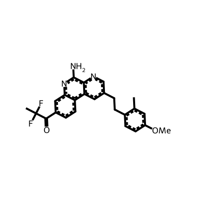 COc1ccc(CCc2cnc3c(N)nc4cc(C(=O)C(C)(F)F)ccc4c3c2)c(C)c1